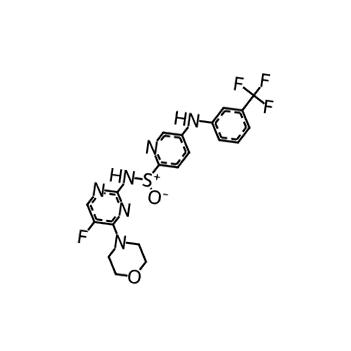 [O-][S+](Nc1ncc(F)c(N2CCOCC2)n1)c1ccc(Nc2cccc(C(F)(F)F)c2)cn1